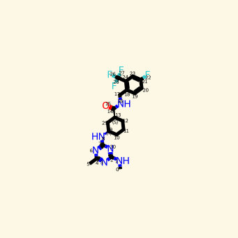 CNc1nc(C)nc(N[C@@H]2CCC[C@H](C(=O)NCc3ccc(F)cc3C(F)(F)F)C2)n1